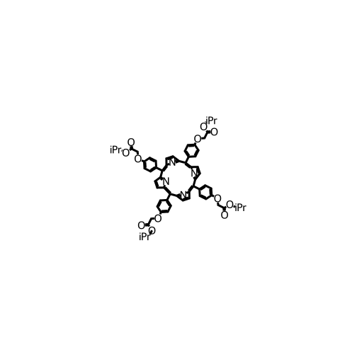 CC(C)OC(=O)COc1ccc(C2=C3C=CC(=N3)C(c3ccc(OCC(=O)OC(C)C)cc3)=C3C=CC(=N3)C(c3ccc(OCC(=O)OC(C)C)cc3)=C3C=CC(=N3)C(c3ccc(OCC(=O)OC(C)C)cc3)=C3C=CC2=N3)cc1